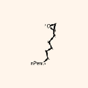 CCCCCCCCCCC1[CH]O1